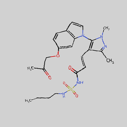 CCCCNS(=O)(=O)NC(=O)C=Cc1c(C)nn(C)c1-n1ccc2ccc(OCC(C)=O)cc21